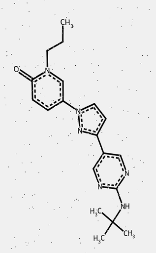 CCCn1cc(-n2ccc(-c3cnc(NC(C)(C)C)nc3)n2)ccc1=O